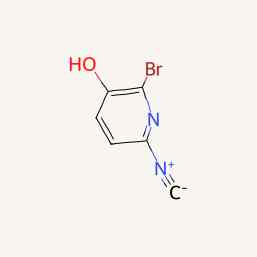 [C-]#[N+]c1ccc(O)c(Br)n1